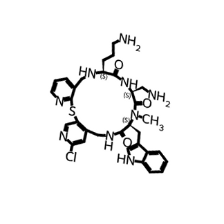 CN1C(=O)[C@H](CN)NC(=O)[C@H](CCCN)NCc2cccnc2Sc2cnc(Cl)cc2CNC(=O)[C@@H]1Cc1c[nH]c2ccccc12